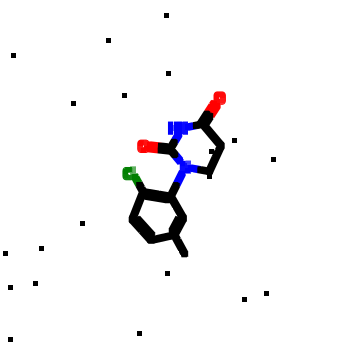 Cc1ccc(Cl)c(N2CCC(=O)NC2=O)c1